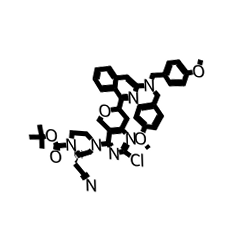 COc1ccc(CN(Cc2ccc(OC)cc2)c2cc3ccccc3c(C3Cc4nc(Cl)nc(N5CCN(C(=O)OC(C)(C)C)[C@@H](CC#N)C5)c4CO3)n2)cc1